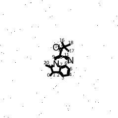 CC1c2ccccc2N(C=C(C#N)C(=O)C(C)(C)C)C1C